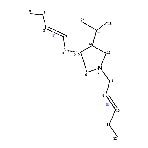 CC/C=C/C[C@H]1CN(C/C=C/CC)CC1C(C)C